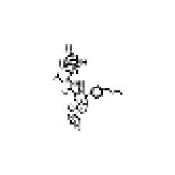 CCCCc1ccc(C(=O)N[C@@H](CNS(=O)(=O)c2cn(C)cn2)C(=O)N[C@@H](CC(C)C)B2O[C@@H]3C[C@@H]4C[C@@H](C4(C)C)[C@]3(C)O2)cc1